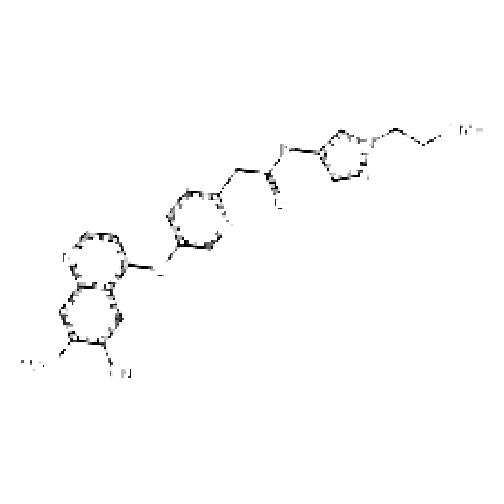 COCCn1cc(NC(=O)Cc2ccc(Oc3ccnc4cc(OC)c(C#N)cc34)cn2)cn1